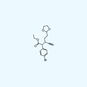 CCOC(=O)C(c1ccc(Br)cc1)C(C#N)CCC1OCCO1